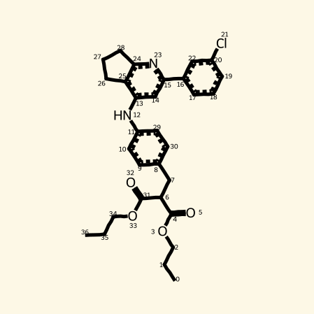 CCCOC(=O)C(Cc1ccc(Nc2cc(-c3cccc(Cl)c3)nc3c2CCC3)cc1)C(=O)OCCC